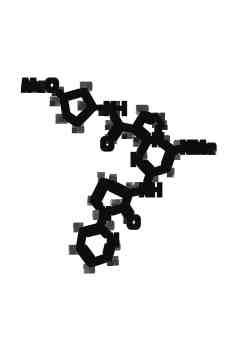 CNc1cc(Nc2cccn(-c3ccccn3)c2=O)nc2c(C(=O)N[C@@H]3CC[C@@H](OC)C3)cnn12